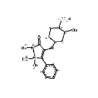 CC(C)(C)C1CC(NC2=C(c3ccccc3)S(O)(O)N(C(C)(C)C)C2=O)CCN1C(=O)O